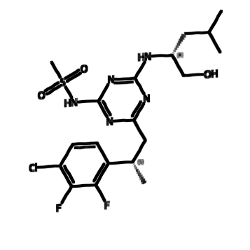 CC(C)C[C@H](CO)Nc1nc(C[C@H](C)c2ccc(Cl)c(F)c2F)nc(NS(C)(=O)=O)n1